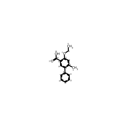 CCOc1cc(C)c(-c2ccccc2)cc1C(=O)O